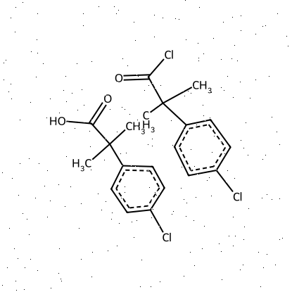 CC(C)(C(=O)Cl)c1ccc(Cl)cc1.CC(C)(C(=O)O)c1ccc(Cl)cc1